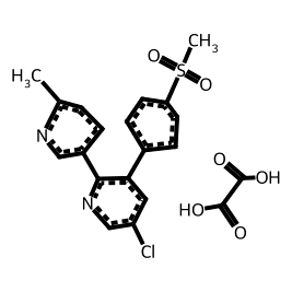 Cc1ccc(-c2ncc(Cl)cc2-c2ccc(S(C)(=O)=O)cc2)cn1.O=C(O)C(=O)O